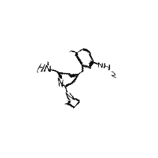 CNc1cc(-c2cc(N)ccc2C)cc(N2CCC2)n1